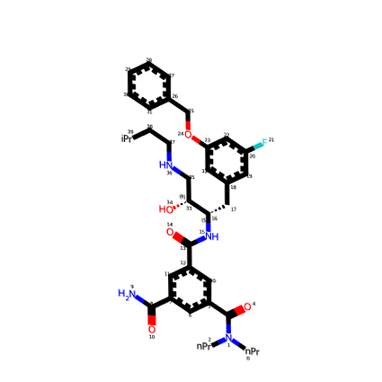 CCCN(CCC)C(=O)c1cc(C(N)=O)cc(C(=O)N[C@@H](Cc2cc(F)cc(OCc3ccccc3)c2)[C@H](O)CNCCC(C)C)c1